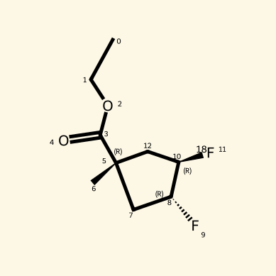 CCOC(=O)[C@@]1(C)C[C@@H](F)[C@H]([18F])C1